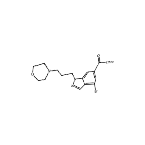 COC(=O)c1cc(Br)c2cnn(CCCN3CCOCC3)c2c1